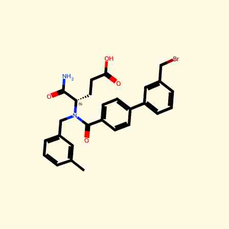 Cc1cccc(CN(C(=O)c2ccc(-c3cccc(CBr)c3)cc2)[C@@H](CCC(=O)O)C(N)=O)c1